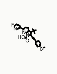 CN(C)c1ccc(C#Cc2c(C(C)(C)C)c3ccc(-c4ccc(F)nc4)nc3n2C(=O)O)cc1